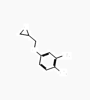 N#Cc1ccc(OCC2CO2)cc1C#N